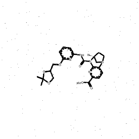 COC(=O)c1ccc2c(n1)N(C(=O)Nc1cccc(OCC3COC(C)(C)O3)n1)[C@H]1CCN2C1